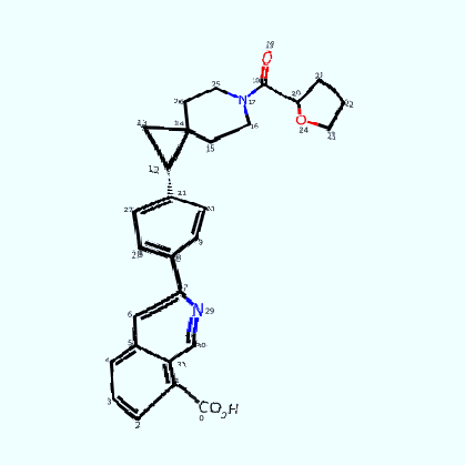 O=C(O)c1cccc2cc(-c3ccc([C@@H]4CC45CCN(C(=O)C4CCCO4)CC5)cc3)ncc12